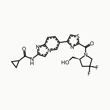 O=C(Nc1cn2cc(-c3csc(C(=O)N4CC(F)(F)C[C@H]4CO)n3)ccc2n1)C1CC1